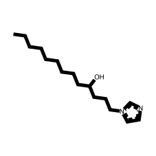 CCCCCCCCCC(O)CCCn1ccnc1